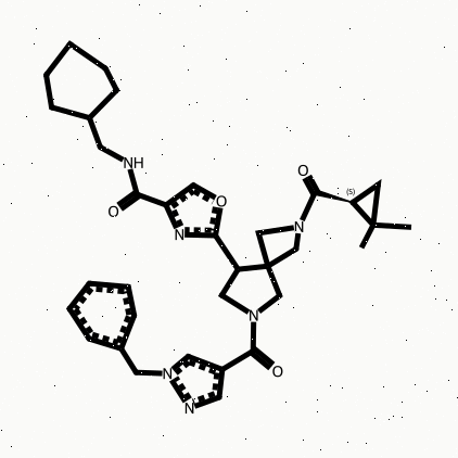 CC1(C)C[C@@H]1C(=O)N1CC2(CN(C(=O)c3cnn(Cc4ccccc4)c3)CC2c2nc(C(=O)NCC3CCCCC3)co2)C1